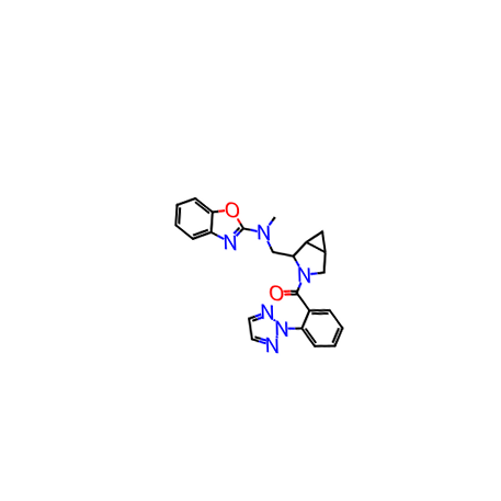 CN(CC1C2CC2CN1C(=O)c1ccccc1-n1nccn1)c1nc2ccccc2o1